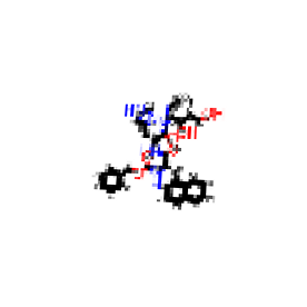 CC(C)C[C@H](NC(=O)[C@H](Cc1c[nH]cn1)NC(=O)[C@H](Cc1cccc2ccccc12)NC(=O)OCc1ccccc1)[C@@H](O)CCO